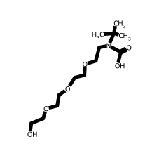 CC(C)(C)N(CCOCCOCCOCCO)C(=O)O